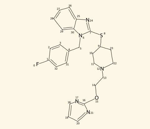 Fc1ccc(Cn2c(SC3CCN(CCOc4ncccn4)CC3)nc3ccccc32)cc1